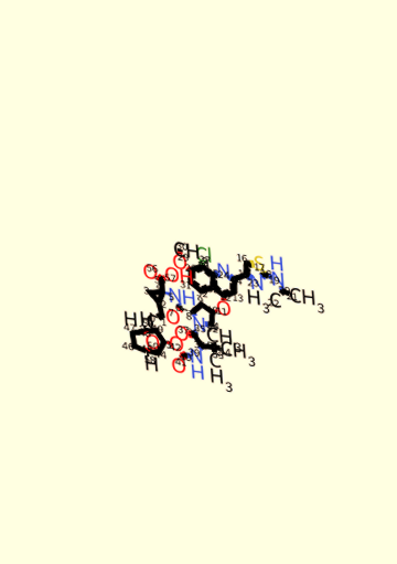 C=CC1C[C@]1(NC(=O)[C@@H]1C[C@@H](Oc2cc(-c3csc(NC(C)C)n3)nc3c(Cl)c(OC)ccc23)CN1C(=O)C(NC(=O)O[C@H]1C[C@H]2CC[C@@H](C1)O2)C(C)(C)C)C(=O)O